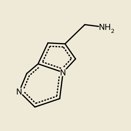 NCc1cc2cnccn2c1